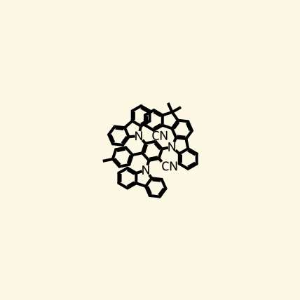 Cc1ccc(-c2c(-n3c4ccccc4c4ccccc43)c(C#N)c(-n3c4ccccc4c4ccc5c(c43)-c3ccccc3C5(C)C)c(C#N)c2-n2c3ccccc3c3ccccc32)cc1